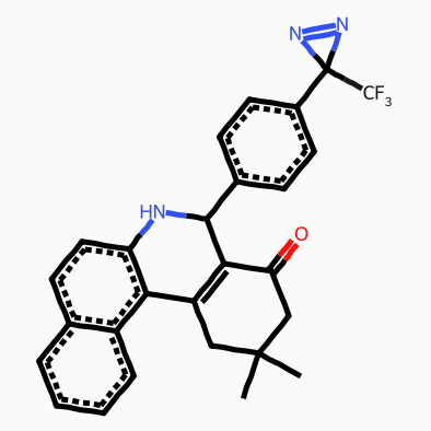 CC1(C)CC(=O)C2=C(C1)c1c(ccc3ccccc13)NC2c1ccc(C2(C(F)(F)F)N=N2)cc1